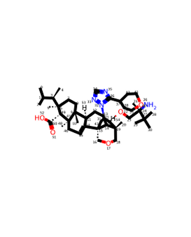 CC(C)[C@@H](C)[C@@]1(C)CC[C@]2(C)[C@H]3CC[C@@H]4[C@@]5(COC[C@@]4(C)[C@@H](OC[C@](C)(N)C(C)(C)C)[C@H](n4ncnc4C4CCOCC4)C5)C3=CC[C@@]2(C)[C@@H]1C(=O)O